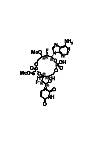 COSP1(=O)OC[C@@H](OC)[C@@H](F)[C@H](n2cnc3c(N)ncnc32)OP(=O)(O)OC[C@H]2O[C@@H](n3ccc(=O)[nH]c3=O)[C@H](F)[C@@H]2O1